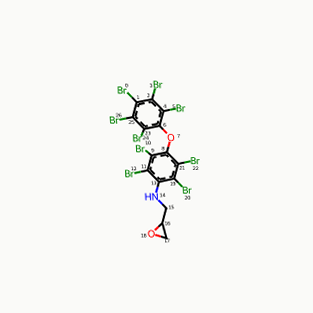 Brc1c(Br)c(Br)c(Oc2c(Br)c(Br)c(NCC3CO3)c(Br)c2Br)c(Br)c1Br